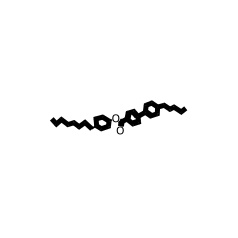 CCCCCCCC[C@H]1CC[C@H](OC(=O)c2ccc(C3=CCC(CCCCC)CC3)cc2)CC1